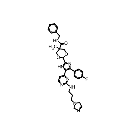 CC1(C(=O)NCc2ccccc2)COC(c2nc(-c3ccc(F)cc3)c(-c3ccnc(NCCCN4CC=NC4)n3)[nH]2)OC1